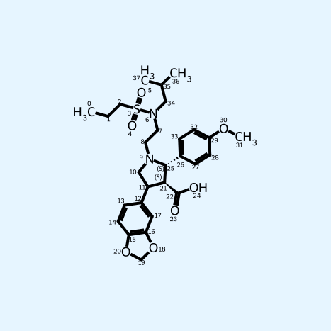 CCCS(=O)(=O)N(CCN1CC(c2ccc3c(c2)OCO3)[C@H](C(=O)O)[C@H]1c1ccc(OC)cc1)CC(C)C